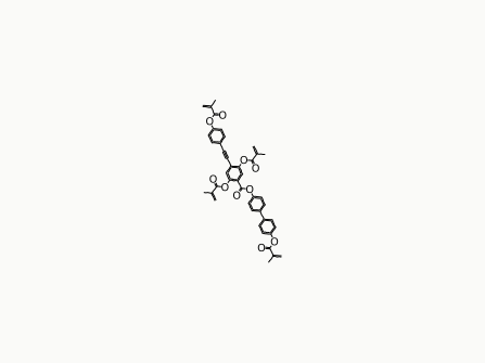 C=C(C)C(=O)Oc1ccc(C#Cc2cc(OC(=O)C(=C)C)c(C(=O)Oc3ccc(-c4ccc(OC(=O)C(=C)C)cc4)cc3)cc2OC(=O)C(=C)C)cc1